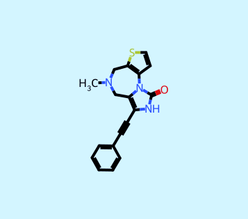 CN1Cc2sccc2-n2c(c(C#Cc3ccccc3)[nH]c2=O)C1